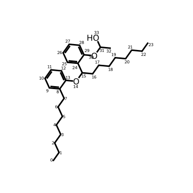 CCCCCCCCc1ccccc1OC(CCCCCCCC)c1ccccc1OC(C)O